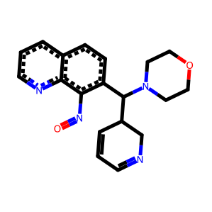 O=Nc1c(C(C2C=CC=NC2)N2CCOCC2)ccc2cccnc12